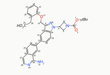 CC(C)(C)OC(=O)N1CC(n2nc(COc3ccccc3CC(=O)O)c3cc(-c4ccc5ccnc(N)c5c4)ccc32)C1